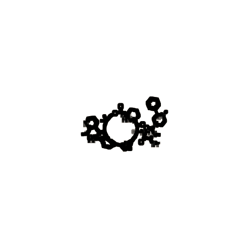 CCn1c(-c2cccnc2[C@H](C)OC)c2c3cc(ccc31)-c1csc(n1)C[C@H](NC(=O)C(C(C)C)N(C)C(=O)N1CCN(C)[C@H](c3ccccc3)C1)C(=O)N1CCC[C@H](N1)C(=O)OCC(C)(C)C2